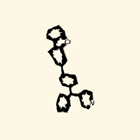 c1ccc(C(c2ccncc2)c2ccc(-c3ccc4c(c3)oc3ccccc34)cc2)cc1